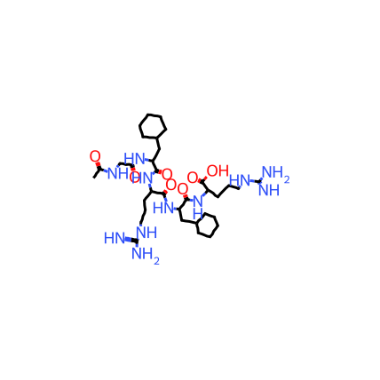 CC(=O)NCC(=O)NC(CC1CCCCC1)C(=O)NC(CCCNC(=N)N)C(=O)NC(CC1CCCCC1)C(=O)NC(CCCNC(=N)N)C(=O)O